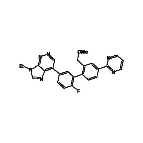 CCn1cnc2c(-c3ccc(F)c(-c4ccc(-c5ncccn5)cc4COC)c3)cnnc21